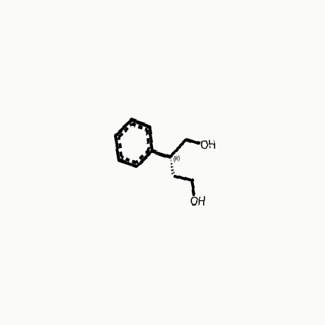 OCC[C@@H](CO)c1ccccc1